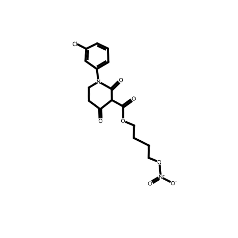 O=C1CCN(c2cccc(Cl)c2)C(=O)C1C(=O)OCCCCO[N+](=O)[O-]